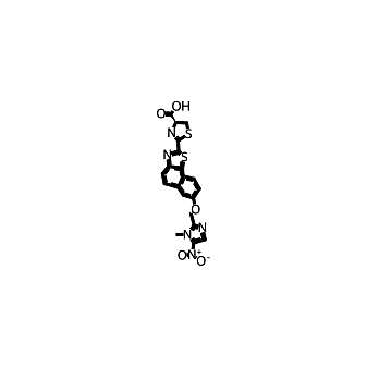 Cn1c([N+](=O)[O-])cnc1COc1ccc2c(ccc3nc(C4=N[C@@H](C(=O)O)CS4)sc32)c1